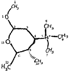 COC1CC([N+](C)(C)C)[C@H](C)C(C)O1